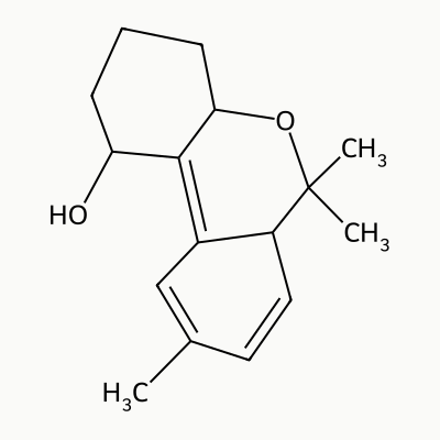 CC1=CC2=C3C(O)CCCC3OC(C)(C)C2C=C1